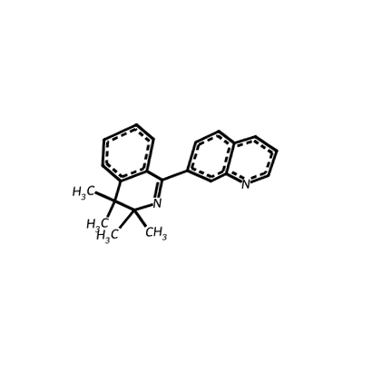 CC1(C)N=C(c2ccc3cccnc3c2)c2ccccc2C1(C)C